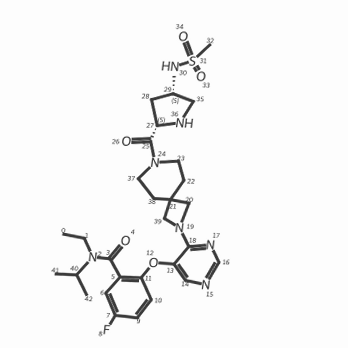 CCN(C(=O)c1cc(F)ccc1Oc1cncnc1N1CC2(CCN(C(=O)[C@@H]3C[C@H](NS(C)(=O)=O)CN3)CC2)C1)C(C)C